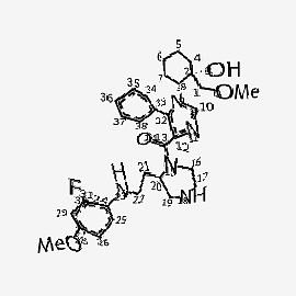 COC[C@]1(O)CCCC[C@H]1n1cnc(C(=O)N2CCNC[C@H]2CCNc2ccc(OC)cc2F)c1-c1ccccc1